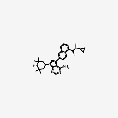 CC1(C)CC(n2cc(-c3ccc4c(C(=O)NC5CC5)cccc4c3)c3c(N)ncnc32)CC(C)(C)N1